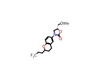 COC[C@H]1CN(c2ccc3c(c2)CCC(CCC(F)(F)F)O3)C(=O)O1